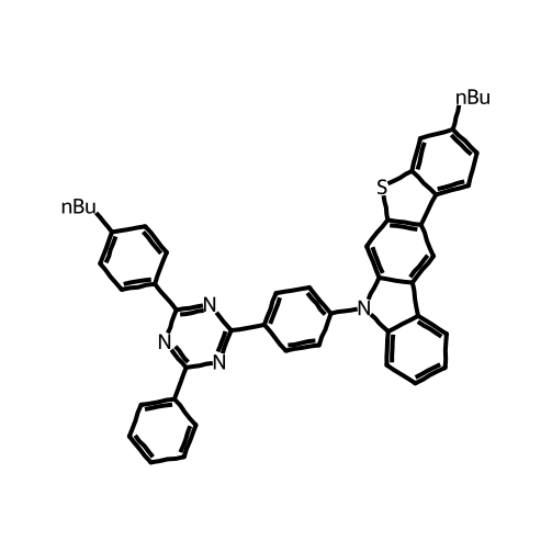 CCCCc1ccc(-c2nc(-c3ccccc3)nc(-c3ccc(-n4c5ccccc5c5cc6c(cc54)sc4cc(CCCC)ccc46)cc3)n2)cc1